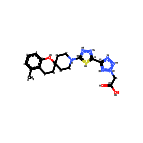 Cc1cccc2c1CCC1(CCN(c3nnc(-c4nnn(CC(=O)O)n4)s3)CC1)O2